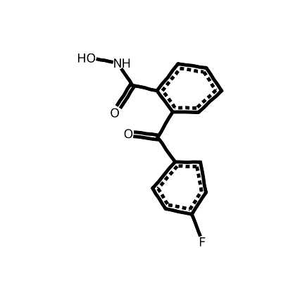 O=C(NO)c1ccccc1C(=O)c1ccc(F)cc1